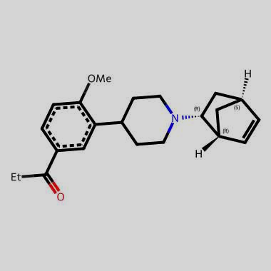 CCC(=O)c1ccc(OC)c(C2CCN([C@@H]3C[C@H]4C=C[C@H]3C4)CC2)c1